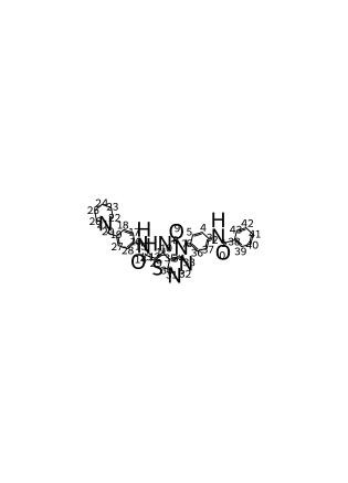 O=C(Nc1ccc(N2C(=O)Nc3c(C(=O)Nc4ccc(CN5CCCCC5)cc4)sc4ncnc2c34)cc1)c1ccccc1